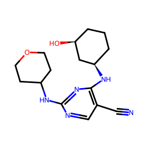 N#Cc1cnc(NC2CCOCC2)nc1N[C@@H]1CCC[C@H](O)C1